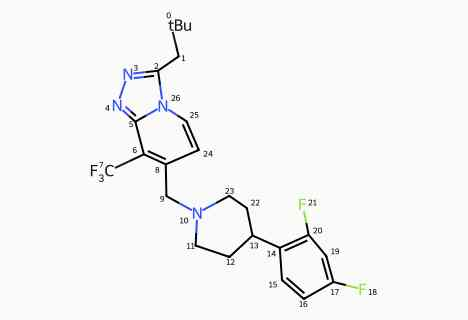 CC(C)(C)Cc1nnc2c(C(F)(F)F)c(CN3CCC(c4ccc(F)cc4F)CC3)ccn12